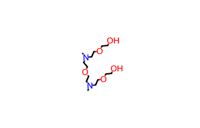 CN(CCOCCO)CCOCCN(C)CCOCCO